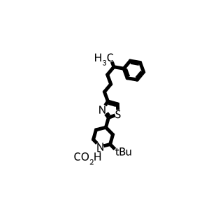 CC(CCCc1csc(C2CCN(C(=O)O)C(C(C)(C)C)C2)n1)c1ccccc1